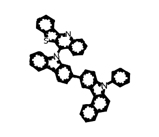 c1ccc(-n2c3ccc(-c4ccc5c6ccccc6n(-c6c7ccccc7nc7c6sc6ccccc67)c5c4)cc3c3c4ccccc4ccc32)cc1